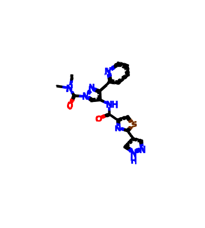 CN(C)C(=O)n1cc(NC(=O)c2csc(-c3cn[nH]c3)n2)c(-c2ccccn2)n1